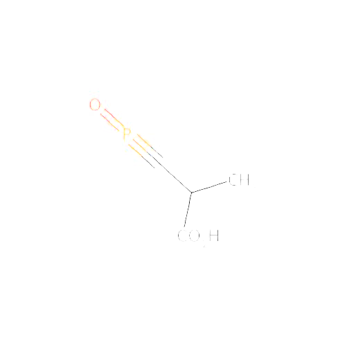 CC(C#P=O)C(=O)O